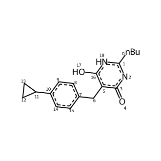 CCCCc1nc(=O)c(Cc2ccc(C3CC3)cc2)c(O)[nH]1